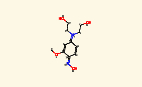 COC1=CC(=[N+](CCO)CCO)C=C/C1=N\O